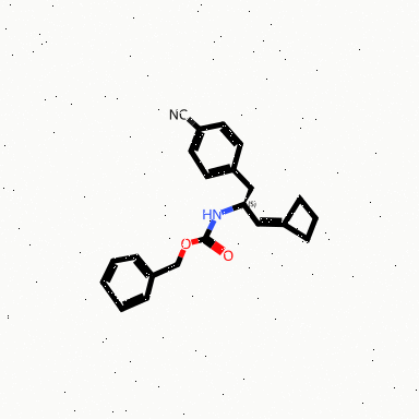 N#Cc1ccc(C[C@@H](C=C2CCC2)NC(=O)OCc2ccccc2)cc1